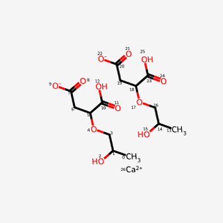 CC(O)COC(CC(=O)[O-])C(=O)O.CC(O)COC(CC(=O)[O-])C(=O)O.[Ca+2]